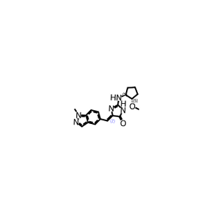 CO[C@H]1CCC[C@@H]1NC1=N/C(=C\c2ccc3c(cnn3C)c2)C(=O)N1